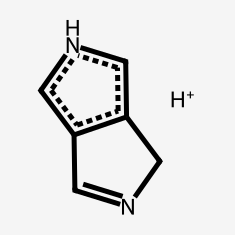 C1=NCc2c[nH]cc21.[H+]